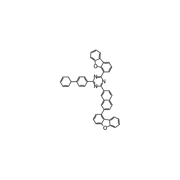 C1=CCC(c2ccc(-c3nc(-c4ccc5ccc(-c6cccc7oc8ccccc8c67)cc5c4)nc(-c4cccc5c4oc4ccccc45)n3)cc2)C=C1